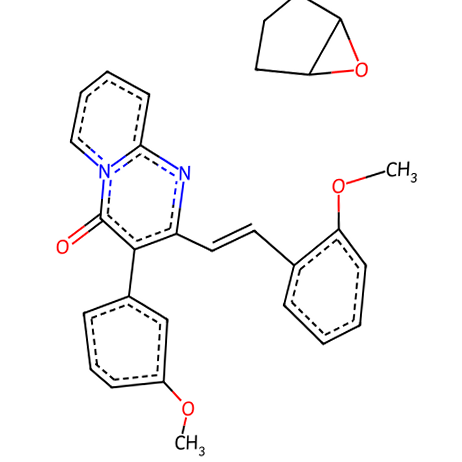 C1CC2OC2C1.COc1cccc(-c2c(C=Cc3ccccc3OC)nc3ccccn3c2=O)c1